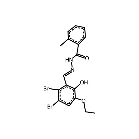 CCOc1cc(Br)c(Br)c(C=NNC(=O)c2ccccc2C)c1O